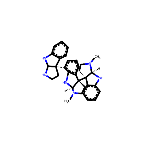 CN1CC[C@]2([C@@]34CCN(C)[C@H]3Nc3ccccc34)c3cccc([C@]45CCNC4Nc4ccccc45)c3N[C@H]12